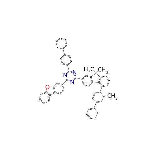 CC1C=C(C2=CC=CCC2)C=CC1c1cccc2c1-c1ccc(-c3nc(-c4ccc(-c5ccccc5)cc4)nc(-c4ccc5c(c4)oc4ccccc45)n3)cc1C2(C)C